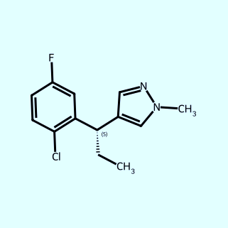 CC[C@@H](c1cnn(C)c1)c1cc(F)ccc1Cl